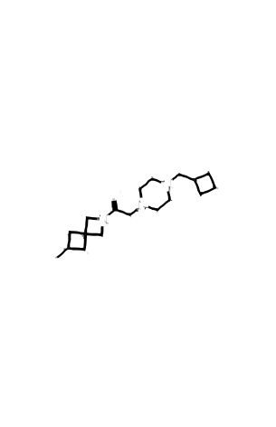 CC1CC2(C1)CN(C(=O)CN1CCN(CC3CCC3)CC1)C2